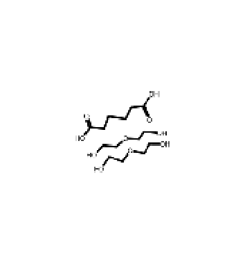 O=C(O)CCCCC(=O)O.OCCOCCO.OCCOCCO